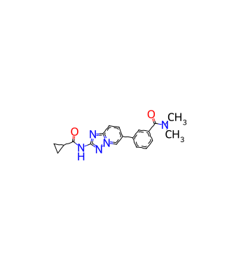 CN(C)C(=O)c1cccc(-c2ccc3nc(NC(=O)C4CC4)nn3c2)c1